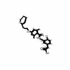 Cc1cc(OCCC2CCCCO2)cc(C)c1C(=S)Nc1cc(CC(=O)O)ccc1Cl